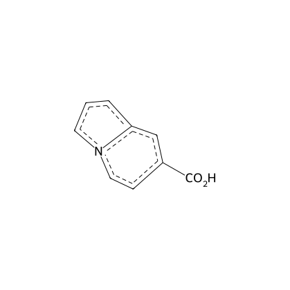 O=C(O)c1ccn2cccc2c1